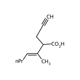 C#CCC(C(=O)O)/C(C)=C/CCC